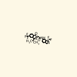 CC(C)c1nn(CC(=O)Nc2ccc3cnn(C(F)F)c3c2)c(=O)c2ccc(C(F)(F)F)cc12